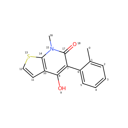 Cc1ccccc1-c1c(O)c2ccsc2n(C)c1=O